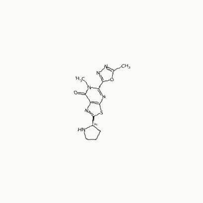 Cc1nnc(-c2nc3sc([C@H]4CCCN4)nc3c(=O)n2C)o1